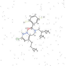 CCCc1cc(Cl)nnc1CN(CC(C)C)C(=O)c1cc(F)ccc1F